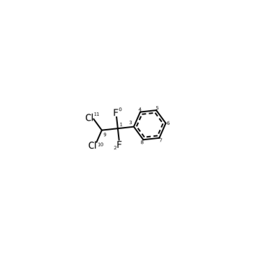 FC(F)(c1ccccc1)C(Cl)Cl